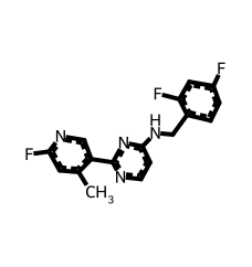 Cc1cc(F)ncc1-c1nccc(NCc2ccc(F)cc2F)n1